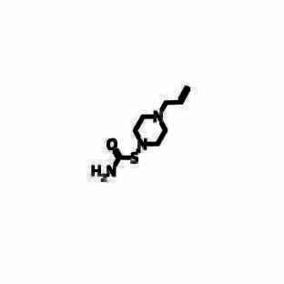 C=CCN1CCN(SC(N)=O)CC1